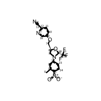 Cc1cc(N2C[C@@H](COc3ccc(C#N)nc3)O[C@@H]2C(F)(F)F)ccc1[N+](=O)[O-]